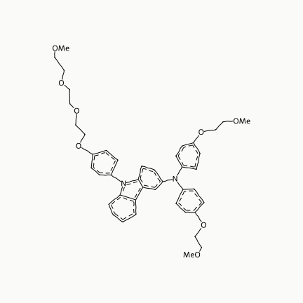 COCCOCCOCCOc1ccc(-n2c3ccccc3c3cc(N(c4ccc(OCCOC)cc4)c4ccc(OCCOC)cc4)ccc32)cc1